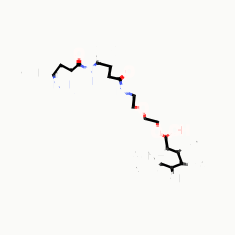 CC(=O)NC(C(O)OCCOCCNC(=O)CC[C@@H](C=O)NC(=O)CC[C@H](N)C=O)C(OC(C)=O)C(OC(C)=O)C(C)COC(C)=O